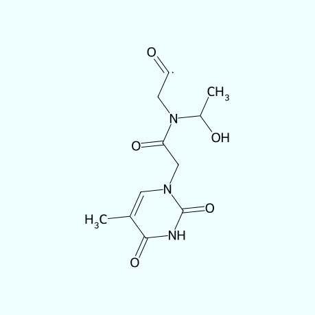 Cc1cn(CC(=O)N(C[C]=O)C(C)O)c(=O)[nH]c1=O